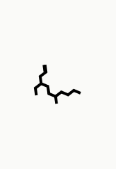 C=CCC(CC)CCC(C)CCCC